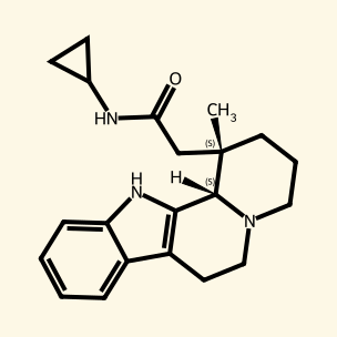 C[C@@]1(CC(=O)NC2CC2)CCCN2CCc3c([nH]c4ccccc34)[C@@H]21